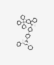 c1ccc(-c2cc(-c3ccccc3)nc(-c3ccc(-c4ccc(-c5nc6ccccc6c6cc7c(cc56)C(c5ccccc5)(c5ccccc5)c5ccccc5-7)cc4)cc3)n2)cc1